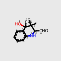 CCCCC1(O)c2ccccc2NC(C=O)C1(C)C